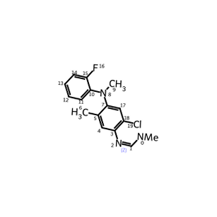 CN/C=N\c1cc(C)c(N(C)c2ccccc2F)cc1Cl